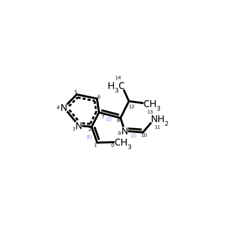 C/C=c1/nncc/c1=C(/N=C\N)C(C)C